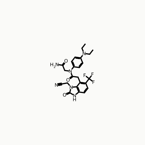 CCN(CC)c1ccc(N(CC(N)=O)C(=O)Cc2c(C(F)(F)F)ccc3[nH]c(=O)n(CC#N)c23)cc1